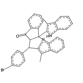 Cc1c(C23c4ccccc4C(=O)C2C(c2ccc(Br)cc2)c2c(C)c4ccccc4n23)[nH]c2ccccc12